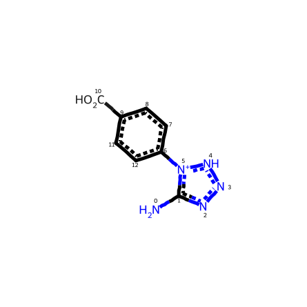 Nc1nn[nH][n+]1-c1ccc(C(=O)O)cc1